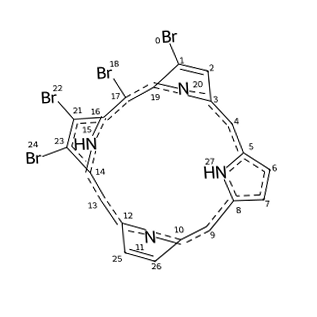 BrC1=Cc2cc3ccc(cc4nc(cc5[nH]c(c(Br)c1n2)c(Br)c5Br)C=C4)[nH]3